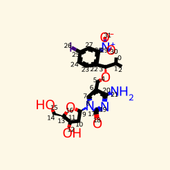 CC(C)[C@@H](OCc1cn([C@H]2CC(O)[C@@H](CO)O2)c(=O)nc1N)c1ccc(I)cc1[N+](=O)[O-]